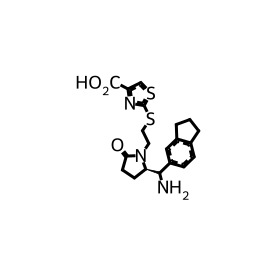 NC(c1ccc2c(c1)CCC2)[C@H]1CCC(=O)N1CCSc1nc(C(=O)O)cs1